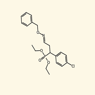 CCOP(=O)(OCC)C(CC=NOCc1ccccc1)c1ccc(Cl)cc1